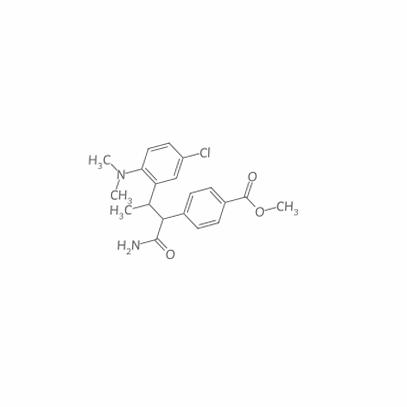 COC(=O)c1ccc(C(C(N)=O)C(C)c2cc(Cl)ccc2N(C)C)cc1